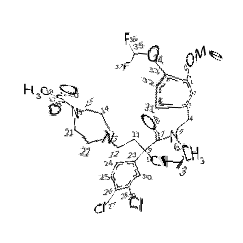 COc1cc(CN(C)C(=O)C(C)(CCN2CCN(S(C)(=O)=O)CC2)c2ccc(Cl)c(Cl)c2)ccc1OC(F)F